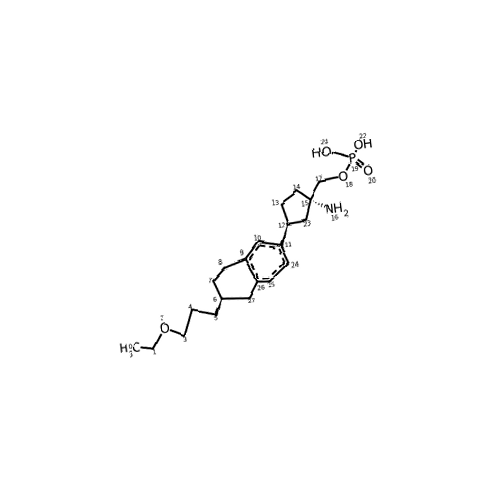 CCOCCC[C@H]1CCc2cc([C@H]3CC[C@@](N)(COP(=O)(O)O)C3)ccc2C1